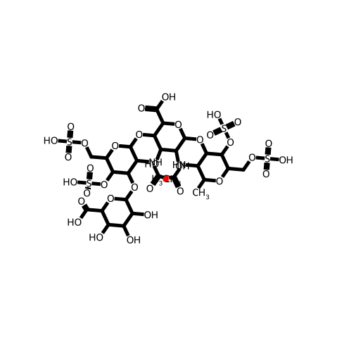 CC(=O)NC1C(C)OC(COS(=O)(=O)O)C(OS(=O)(=O)O)C1OC1OC(C(=O)O)C(OC2OC(COS(=O)(=O)O)C(OS(=O)(=O)O)C(OC3OC(C(=O)O)C(O)C(O)C3O)C2NC(C)=O)C(O)C1O